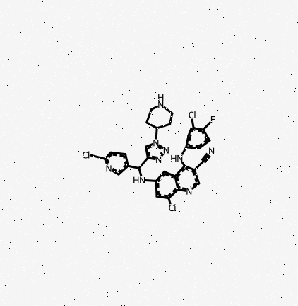 N#Cc1cnc2c(Cl)cc(NC(c3ccc(Cl)nc3)c3cn(C4CCNCC4)nn3)cc2c1Nc1ccc(F)c(Cl)c1